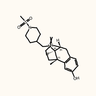 CN1CC[C@@]2(C)c3cc(O)ccc3C[C@@H]1[C@@H]2N(C)CC1CCN(S(C)(=O)=O)CC1